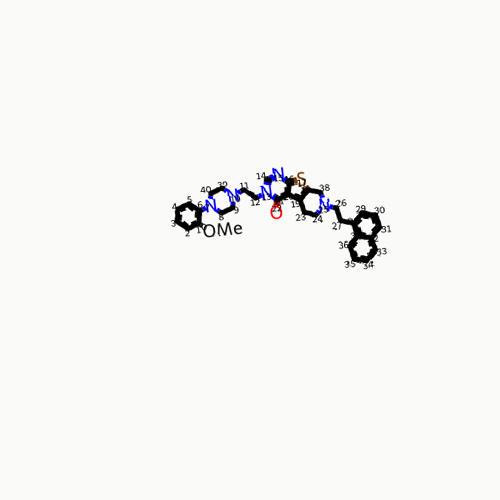 COc1ccccc1N1CCN(CCn2cnc3sc4c(c3c2=O)CCN(CCc2cccc3ccccc23)C4)CC1